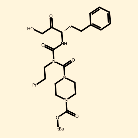 CC(C)CCN(C(=O)N[C@@H](CCc1ccccc1)C(=O)CO)C(=O)N1CCN(C(=O)OC(C)(C)C)CC1